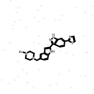 CC(=O)N1CCN(Cc2ccc3[nH]c(-c4n[nH]c5cc(-c6nccs6)ccc45)cc3c2)CC1